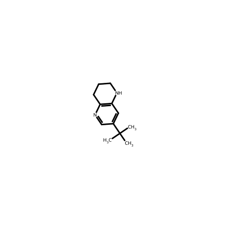 CC(C)(C)c1cnc2c(c1)NCCC2